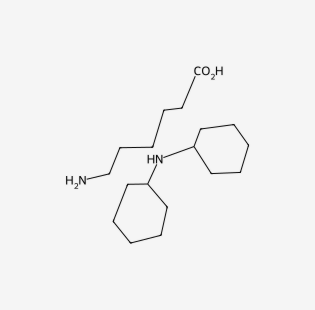 C1CCC(NC2CCCCC2)CC1.NCCCCCC(=O)O